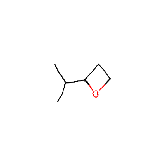 CC(C)[C]1CCO1